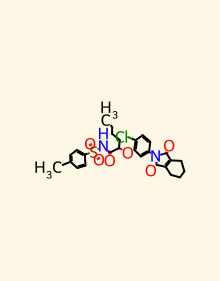 CCCCC(Oc1cc(N2C(=O)C3=C(CCCC3)C2=O)ccc1Cl)C(=O)NS(=O)(=O)c1ccc(C)cc1